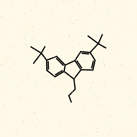 CCCC1c2ccc(C(C)(C)C)cc2-c2cc(C(C)(C)C)ccc21